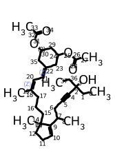 CCC(O)(C#CCC(C)C1=CCC[C@]1(C)CCC/C(C)=C\C=C1\CC(OC(C)=O)C[C@H](OC(C)=O)C1)CC